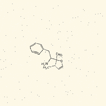 CC1C=COC1(C=O)C(N)Cc1ccccc1